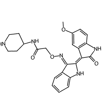 COc1ccc2c(c1)/C(=C1/Nc3ccccc3/C1=N\OCC(=O)NC1CCNCC1)C(=O)N2